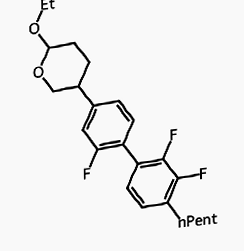 CCCCCc1ccc(-c2ccc(C3CCC(OCC)OC3)cc2F)c(F)c1F